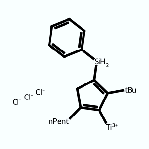 CCCCCC1=[C]([Ti+3])C(C(C)(C)C)=C([SiH2]c2ccccc2)C1.[Cl-].[Cl-].[Cl-]